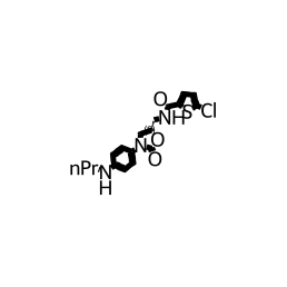 CCCNc1ccc(N2C[C@H](CNC(=O)c3ccc(Cl)s3)OC2=O)cc1